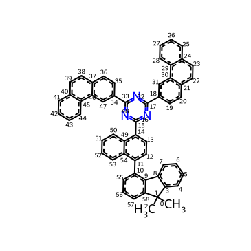 CC1(C)c2ccccc2-c2c(-c3ccc(-c4nc(-c5ccc6ccc7ccccc7c6c5)nc(-c5ccc6ccc7ccccc7c6c5)n4)c4ccccc34)cccc21